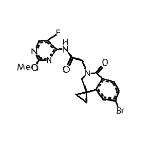 COc1ncc(F)c(NC(=O)CN2CC3(CC3)c3cc(Br)ccc3C2=O)n1